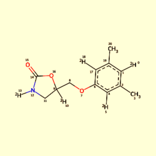 [2H]c1c(C)c([2H])c(OCC2([2H])CN([2H])C(=O)O2)c([2H])c1C